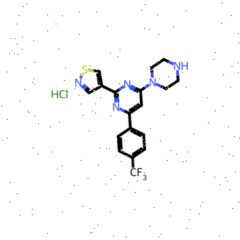 Cl.FC(F)(F)c1ccc(-c2cc(N3CCNCC3)nc(-c3cnsc3)n2)cc1